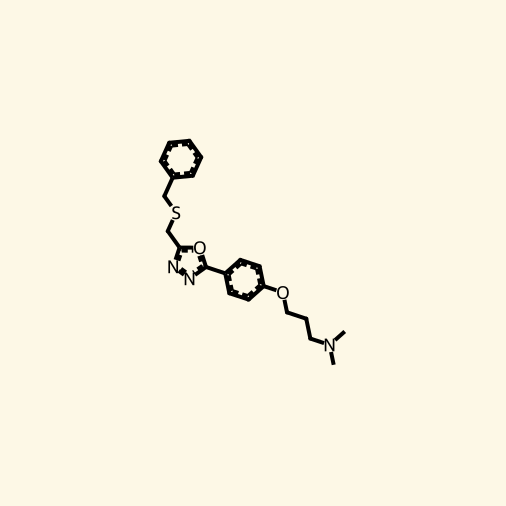 CN(C)CCCOc1ccc(-c2nnc(CSCc3ccccc3)o2)cc1